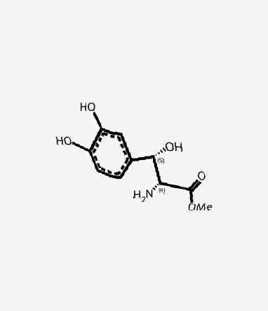 COC(=O)[C@H](N)[C@@H](O)c1ccc(O)c(O)c1